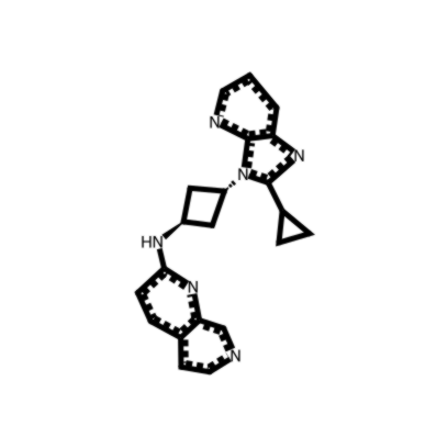 c1cnc2c(c1)nc(C1CC1)n2[C@H]1C[C@H](Nc2ccc3ccncc3n2)C1